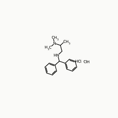 CC(CNC(c1ccccc1)c1ccccc1)N(C)C.Cl.Cl